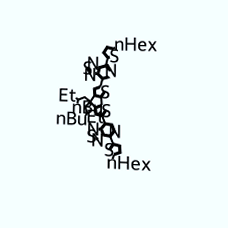 CCCCCCc1ccc(-c2ncc(-c3cc4c(s3)-c3sc(-c5cnc(-c6ccc(CCCCCC)s6)c6nsnc56)cc3C4(CC(CC)CCCC)CC(CC)CCCC)c3nsnc23)s1